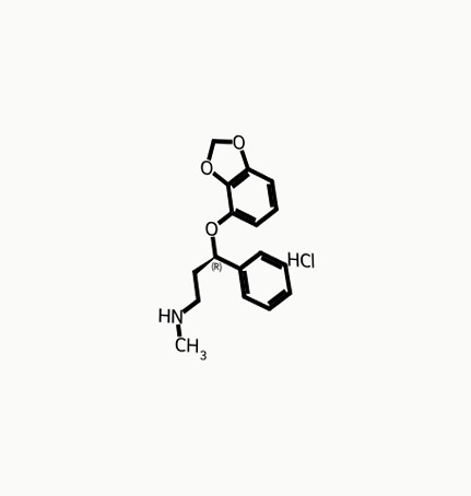 CNCC[C@@H](Oc1cccc2c1OCO2)c1ccccc1.Cl